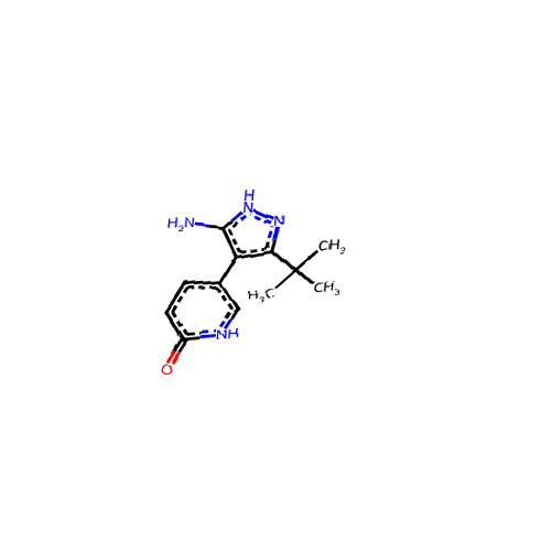 CC(C)(C)c1n[nH]c(N)c1-c1ccc(=O)[nH]c1